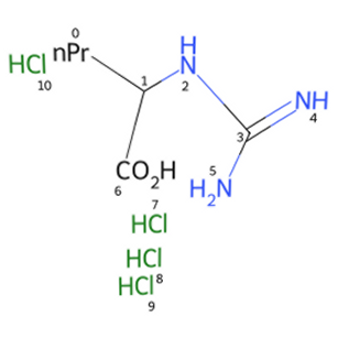 CCCC(NC(=N)N)C(=O)O.Cl.Cl.Cl.Cl